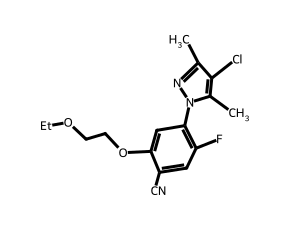 CCOCCOc1cc(-n2nc(C)c(Cl)c2C)c(F)cc1C#N